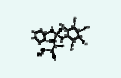 CC(C)OC(=O)[C@H](C)NP(=O)(Oc1ccccc1)Sc1c(F)c(F)c(F)c(F)c1F